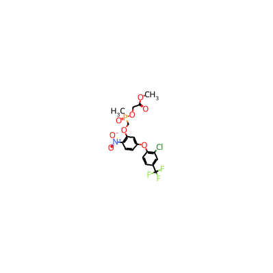 COC(=O)COP(C)(=O)COc1cc(Oc2ccc(C(F)(F)F)cc2Cl)ccc1[N+](=O)[O-]